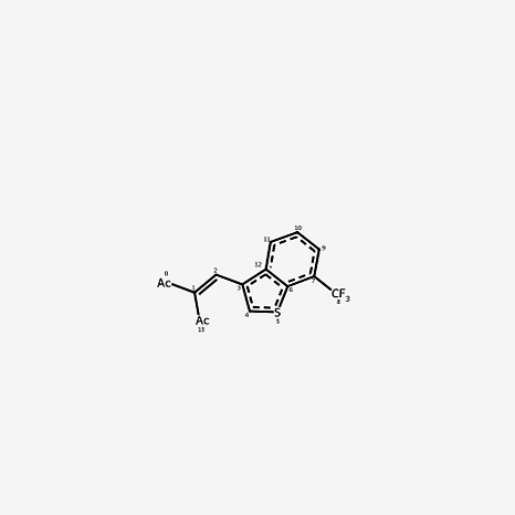 CC(=O)C(=Cc1csc2c(C(F)(F)F)cccc12)C(C)=O